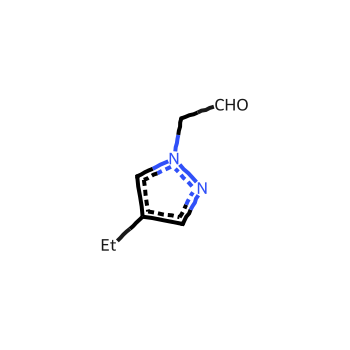 CCc1cnn(CC=O)c1